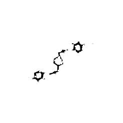 CCCCCc1ccc(OCC(F)(F)CC2CCC(CC(F)(F)COc3ccc(OCC)c(F)c3F)CC2)c(F)c1F